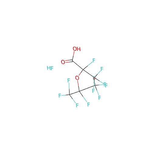 F.O=C(O)C(F)(OC(F)(C(F)(F)F)C(F)(F)F)C(F)(F)F